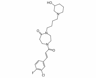 O=C(/C=C/c1ccc(F)c(Cl)c1)N1CCC(=O)N(CCCCN2CCCC(O)C2)CC1